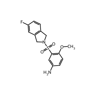 COc1ccc(N)cc1S(=O)(=O)N1Cc2ccc(F)cc2C1